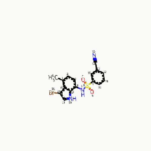 Cc1ccc(NS(=O)(=O)c2cccc(C#N)c2)c2[nH]cc(Br)c12